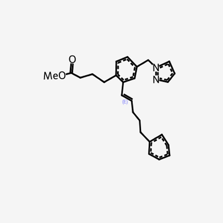 COC(=O)CCCc1ccc(Cn2cccn2)cc1/C=C/CCCc1ccccc1